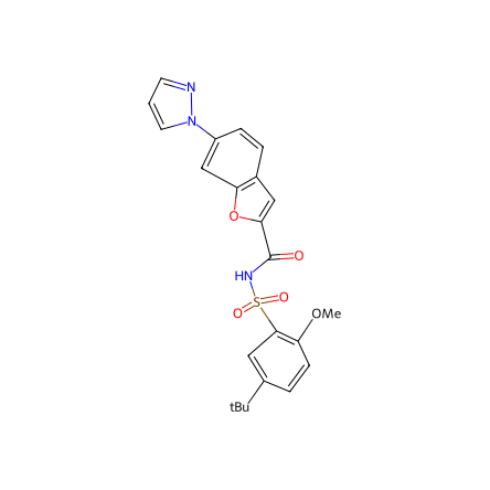 COc1ccc(C(C)(C)C)cc1S(=O)(=O)NC(=O)c1cc2ccc(-n3cccn3)cc2o1